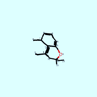 CC1=C2C(=CC=CC2C)OC(C)(C)C1